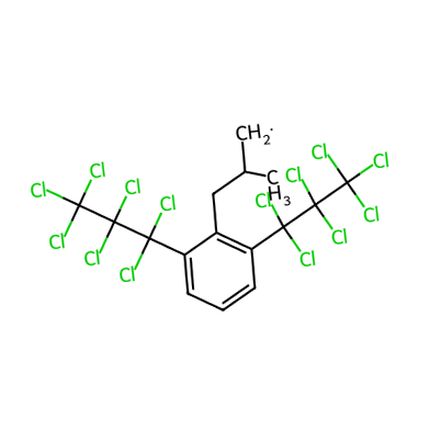 [CH2]C(C)Cc1c(C(Cl)(Cl)C(Cl)(Cl)C(Cl)(Cl)Cl)cccc1C(Cl)(Cl)C(Cl)(Cl)C(Cl)(Cl)Cl